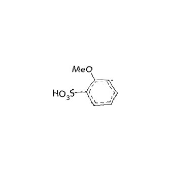 COc1[c]cccc1S(=O)(=O)O